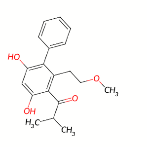 COCCc1c(C(=O)C(C)C)c(O)cc(O)c1-c1ccccc1